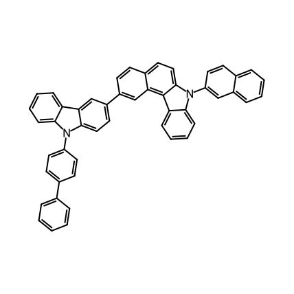 c1ccc(-c2ccc(-n3c4ccccc4c4cc(-c5ccc6ccc7c(c6c5)c5ccccc5n7-c5ccc6ccccc6c5)ccc43)cc2)cc1